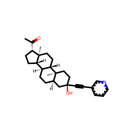 CC(=O)[C@H]1CC[C@H]2[C@@H]3CC[C@@H]4C[C@@](O)(C#Cc5cccnc5)CC[C@]4(C)[C@H]3CC[C@]12C